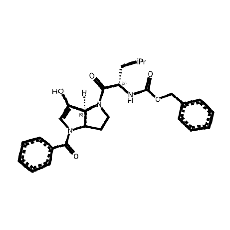 CC(C)C[C@H](NC(=O)OCc1ccccc1)C(=O)N1CCC2[C@H]1C(O)=CN2C(=O)c1ccccc1